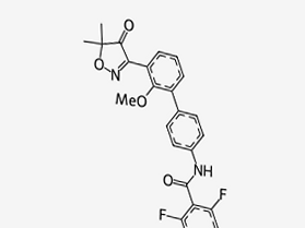 COc1c(C2=NOC(C)(C)C2=O)cccc1-c1ccc(NC(=O)c2c(F)cccc2F)cc1